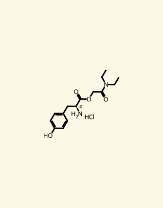 CCN(CC)C(=O)COC(=O)[C@@H](N)Cc1ccc(O)cc1.Cl